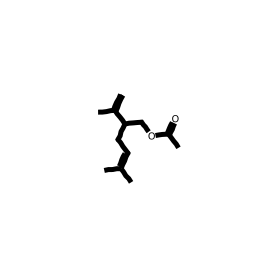 C=C(C)C(CC=C(C)C)COC(C)=O